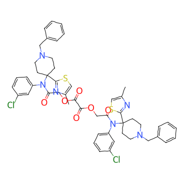 Cc1csc(C2(N(C(=O)COC(=O)C(=O)OCC(=O)N(c3cccc(Cl)c3)C3(c4nc(C)cs4)CCN(Cc4ccccc4)CC3)c3cccc(Cl)c3)CCN(Cc3ccccc3)CC2)n1